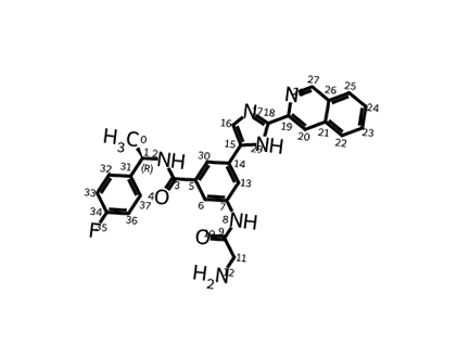 C[C@@H](NC(=O)c1cc(NC(=O)CN)cc(-c2cnc(-c3cc4ccccc4cn3)[nH]2)c1)c1ccc(F)cc1